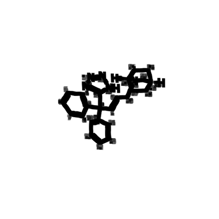 C(=CC(c1ccccc1)(c1ccccc1)c1nnn[nH]1)CN1C[C@H]2CC[C@H]1CC2